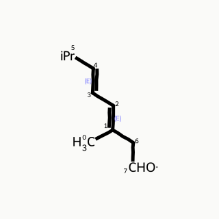 C/C(=C\C=C\C(C)C)C[C]=O